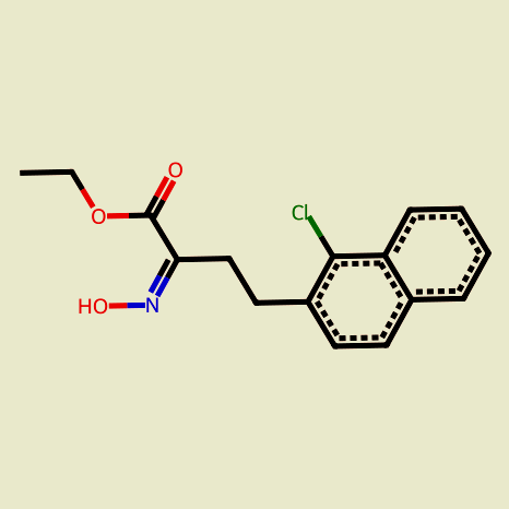 CCOC(=O)C(CCc1ccc2ccccc2c1Cl)=NO